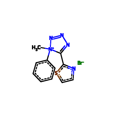 C[N+]1(c2ccccc2)N=NN=C1c1nccs1.[Br-]